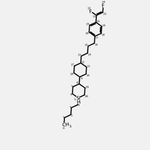 CCCCC[SiH]1CCC(C2CCC(CCCCc3ccc(C(F)=CF)cc3)CC2)CC1